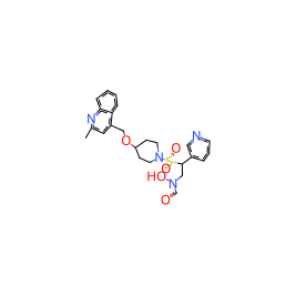 Cc1cc(COC2CCN(S(=O)(=O)C(CN(O)C=O)c3cccnc3)CC2)c2ccccc2n1